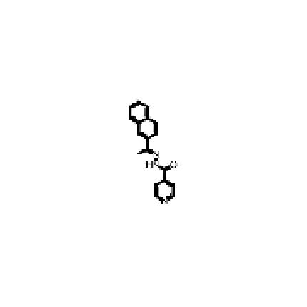 CC(=NNC(=O)c1ccncc1)c1ccc2ccccc2c1